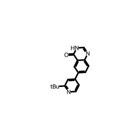 CC(C)(C)c1cc(-c2ccc3nc[nH]c(=O)c3c2)ccn1